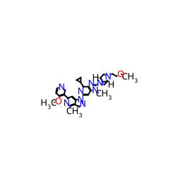 COCCN1C[C@H]2C[C@@H]1CN2c1nc2c(C3CC3)nc(-n3ncc4c(C)nc(-c5cnccc5OC)cc43)cc2n1C